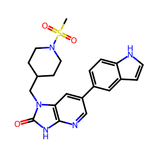 CS(=O)(=O)N1CCC(Cn2c(=O)[nH]c3ncc(-c4ccc5[nH]ccc5c4)cc32)CC1